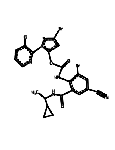 CC(NC(=O)c1cc(C#N)cc(Br)c1NC(=O)Oc1cc(Br)nn1-c1ncccc1Cl)C1CC1